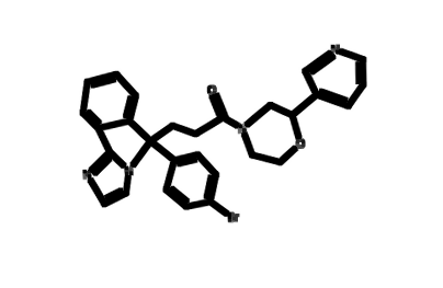 O=C(CCC1(c2ccc(Br)cc2)c2ccccc2-c2nccn21)N1CCOC(c2cccnc2)C1